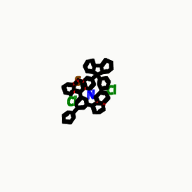 Clc1cccc(Sc2cc(N(c3cccc(Cl)c3)c3c(-c4ccccc4)cc(-c4ccccc4)cc3-c3ccccc3)cc(C3(c4ccccc4)c4ccccc4-c4ccccc43)c2)c1